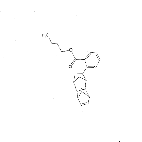 CCCCOC(=O)c1ccccc1C1CC2CC1C1C3C=CC(C3)C21